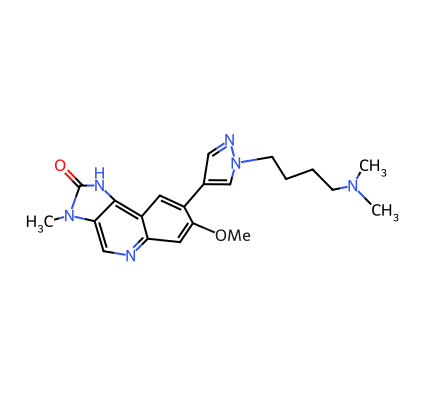 COc1cc2ncc3c([nH]c(=O)n3C)c2cc1-c1cnn(CCCCN(C)C)c1